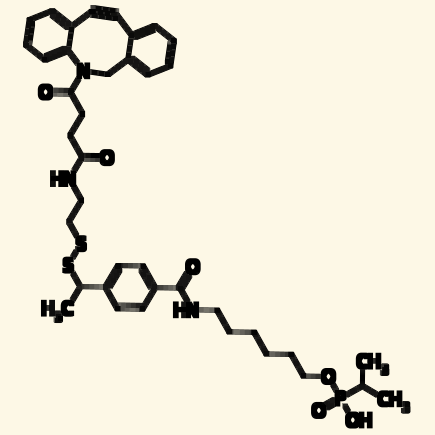 CC(SSCCNC(=O)CCC(=O)N1Cc2ccccc2C#Cc2ccccc21)c1ccc(C(=O)NCCCCCCOP(=O)(O)C(C)C)cc1